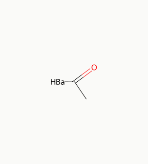 C[C](=O)[BaH]